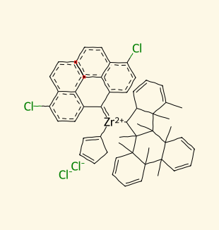 CC1=CC=CC2[CH]([Zr+2]([C]3=CC=CC3)=[C](c3ccc(Cl)c4ccccc34)c3ccc(Cl)c4ccccc34)C3(C)C4(C)C=CC=CC4(C)C4(C)C=CC=CC4(C)C3(C)C12C.[Cl-].[Cl-]